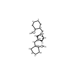 COC1CCCCC1Cn1cc[n+](CC2CCCCC2OC)c1